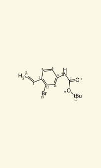 C=Cc1ccc(NC(=O)OC(C)(C)C)cc1Br